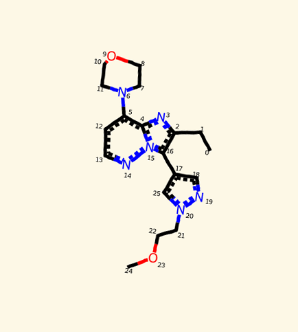 CCc1nc2c(N3CCOCC3)ccnn2c1-c1cnn(CCOC)c1